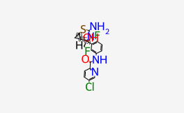 NC1=N[C@](CF)(c2cc(NC(=O)c3ccc(Cl)cn3)ccc2F)[C@H]2C[C@@]2(CO)S1